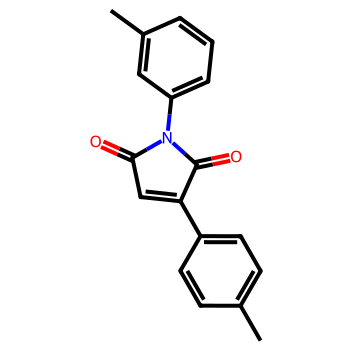 Cc1ccc(C2=CC(=O)N(c3cccc(C)c3)C2=O)cc1